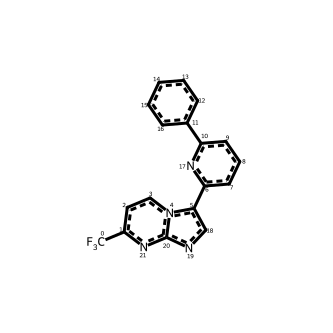 FC(F)(F)c1ccn2c(-c3cccc(-c4ccccc4)n3)cnc2n1